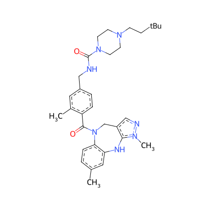 Cc1ccc2c(c1)Nc1c(cnn1C)CN2C(=O)c1ccc(CNC(=O)N2CCN(CCC(C)(C)C)CC2)cc1C